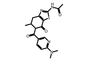 CC(=O)Nc1nc2c(s1)C(=O)C(C(=O)c1ccc(N(C)C)nc1)C(C)C2